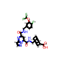 O=C(NCc1ccc(F)c(OC(F)F)c1)c1cc(C(=O)NCC23C4C5C2C2C3C4C52C(=O)O)n2nccc2n1